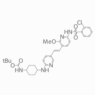 COc1nc(NS(=O)(=O)c2ccccc2Cl)ccc1/C=C/c1ccc(NC2CCC(NC(=O)OC(C)(C)C)CC2)nc1